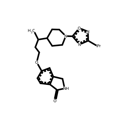 CC(C)c1noc(N2CCC(C(C)CCOc3ccc4c(c3)CNC4=O)CC2)n1